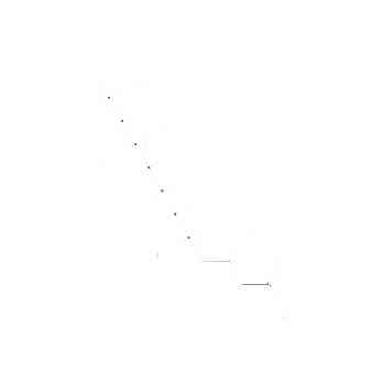 C=C(CC(F)CC(F)(F)C(F)(F)C(F)(F)C(F)(F)C(F)(F)C(F)(F)C(F)(F)C(F)(F)F)C(=O)O